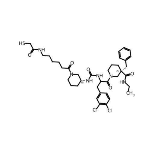 CCNC(=O)[C@]1(Cc2ccccc2)CCCN(C(=O)C(Cc2ccc(Cl)c(Cl)c2)NC(=O)N[C@@H]2CCCN(C(=O)CCCCCNC(=O)CS)C2)C1